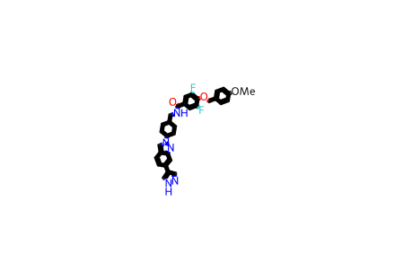 COc1ccc(COc2c(F)cc(C(=O)NCC3CCC(n4cc5ccc(-c6cn[nH]c6)cc5n4)CC3)cc2F)cc1